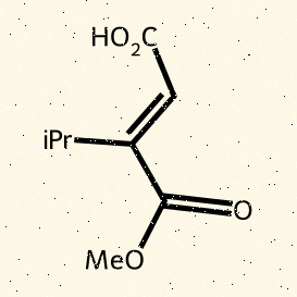 COC(=O)/C(=C/C(=O)O)C(C)C